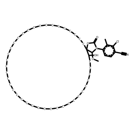 COC1N(c2ccc(C#N)c(Cl)c2C)C(=O)OC12CCCCCCCCCCCCCCCCCCCCCCCCCCCCCCCCCCCCCCCCC2O